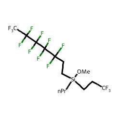 CCC[Si](CCC(F)(F)F)(CCC(F)(F)C(F)(F)C(F)(F)C(F)(F)C(F)(F)F)OC